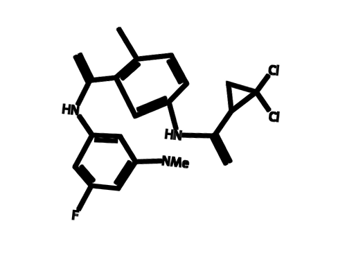 C=C(Nc1cc(F)cc(NC)c1)c1cc(NC(=C)C2CC2(Cl)Cl)ccc1C